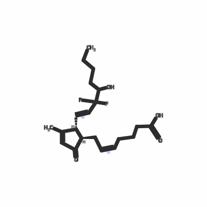 CCCCC(O)C(F)(F)/C=C/[C@H]1C(C)=CC(=O)[C@@H]1C/C=C\CCCC(=O)O